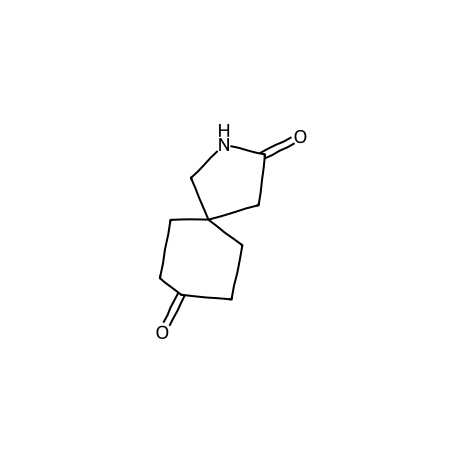 O=C1CCC2(CC1)CNC(=O)C2